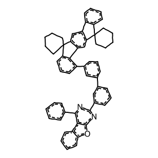 c1ccc(-c2nc(-c3cccc(-c4cccc(-c5cccc6c5-c5cc7c(cc5C65CCCCC5)-c5ccccc5C75CCCCC5)c4)c3)nc3oc4ccccc4c23)cc1